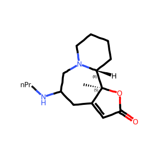 CCCNC1CC2=CC(=O)O[C@]2(C)[C@H]2CCCCN2C1